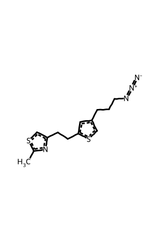 Cc1nc(CCc2cc(CCCN=[N+]=[N-])cs2)cs1